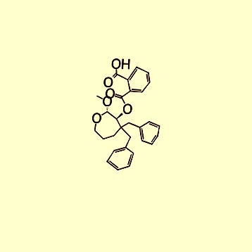 CO[C@H]1OCCCC(Cc2ccccc2)(Cc2ccccc2)[C@@H]1OC(=O)c1ccccc1C(=O)O